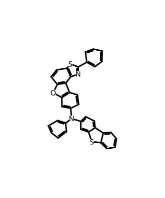 c1ccc(-c2nc3c(ccc4oc5cc(N(c6ccccc6)c6ccc7c(c6)sc6ccccc67)ccc5c43)s2)cc1